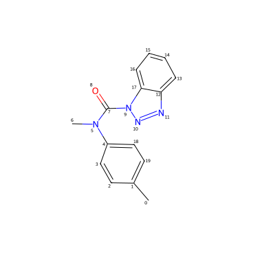 Cc1ccc(N(C)C(=O)n2nnc3ccccc32)cc1